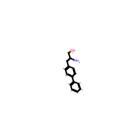 NC(CO)Cc1ccc(-c2ccccc2)cc1